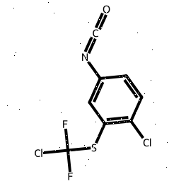 O=C=Nc1ccc(Cl)c(SC(F)(F)Cl)c1